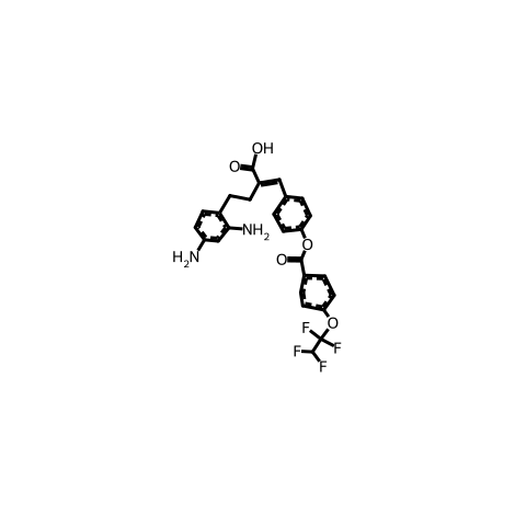 Nc1ccc(CC/C(=C\c2ccc(OC(=O)c3ccc(OC(F)(F)C(F)F)cc3)cc2)C(=O)O)c(N)c1